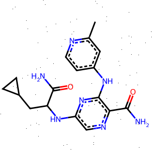 Cc1cc(Nc2nc(NC(CC3CC3)C(N)=O)cnc2C(N)=O)ccn1